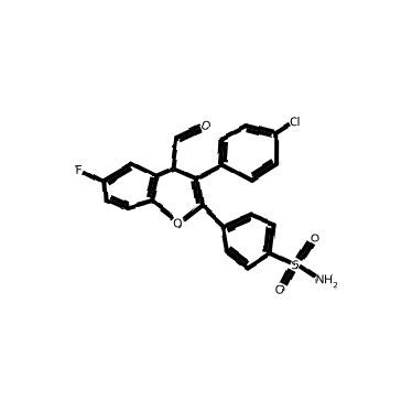 NS(=O)(=O)c1ccc(C2=C(c3ccc(Cl)cc3)C(C=O)c3cc(F)ccc3O2)cc1